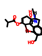 CC(C)C(=O)OC1=CC[C@@]2(O)[C@H]3Cc4ccc(CO)c5c4[C@@]2(CCN3C)[C@H]1O5